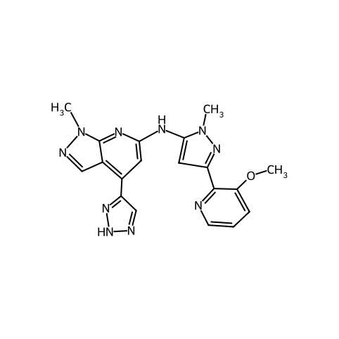 COc1cccnc1-c1cc(Nc2cc(-c3cn[nH]n3)c3cnn(C)c3n2)n(C)n1